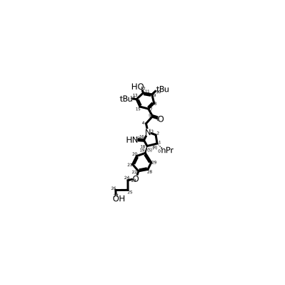 CCC[C@H]1CN(CC(=O)c2cc(C(C)(C)C)c(O)c(C(C)(C)C)c2)C(=N)[C@@H]1c1ccc(OCCCO)cc1